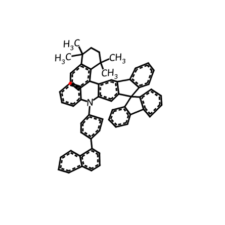 CC1(C)CCC(C)(C)c2c(-c3cc4c(cc3N(c3ccccc3)c3ccc(-c5cccc6ccccc56)cc3)C3(c5ccccc5-c5ccccc53)c3ccccc3-4)cccc21